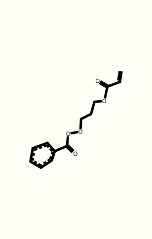 C=CC(=O)OCCCOOC(=O)c1ccccc1